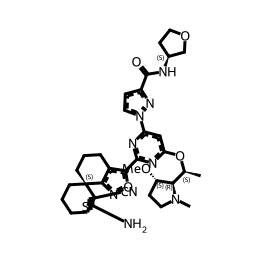 CO[C@H]1CCN(C)[C@@H]1[C@H](C)Oc1cc(-n2ccc(C(=O)N[C@H]3CCOC3)n2)nc(-c2onc3c2CCC[C@@]32CCCc3sc(N)c(C#N)c32)n1